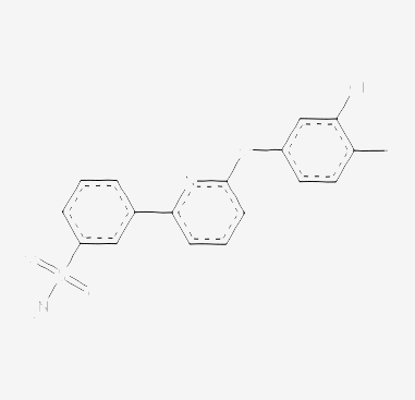 NS(=O)(=O)c1cccc(-c2cccc(Oc3ccc(F)c(O)c3)n2)c1